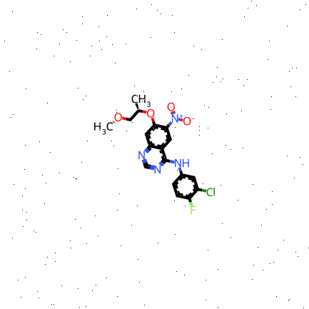 COC[C@@H](C)Oc1cc2ncnc(Nc3ccc(F)c(Cl)c3)c2cc1[N+](=O)[O-]